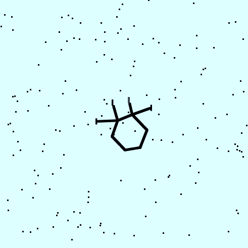 IC1(I)CCCCC1(I)I